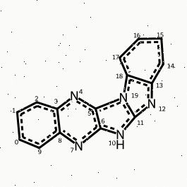 c1ccc2nc3c(nc2c1)[nH]c1nc2ccccc2n13